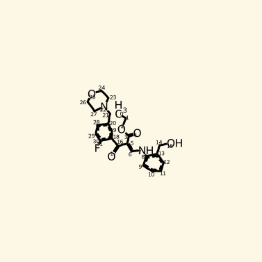 CCOC(=O)C(=CNc1ccccc1CO)C(=O)c1cc(CN2CCOCC2)ccc1F